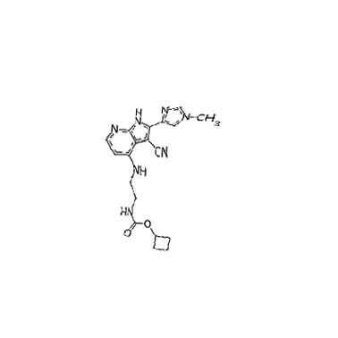 Cn1cnc(-c2[nH]c3nccc(NCCNC(=O)OC4CCC4)c3c2C#N)c1